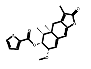 CO[C@H]1C=C2C=C3OC(=O)C(C)=C3C[C@]2(C)[C@@H](C)[C@H]1OC(=O)c1cccs1